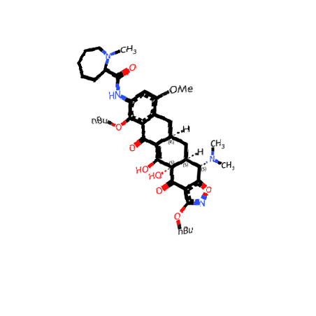 CCCCOc1noc2c1C(=O)[C@@]1(O)C(O)=C3C(=O)c4c(c(OC)cc(NC(=O)C5CCCCCN5C)c4OCCCC)C[C@H]3C[C@H]1[C@@H]2N(C)C